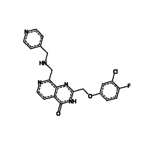 O=c1[nH]c(COc2ccc(F)c(Cl)c2)nc2c(CNCc3ccncc3)nccc12